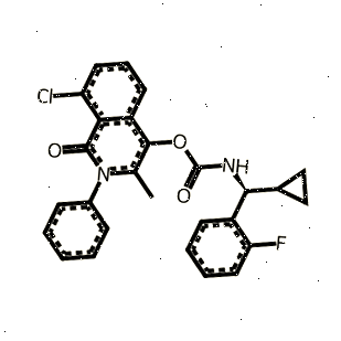 Cc1c(OC(=O)N[C@H](c2ccccc2F)C2CC2)c2cccc(Cl)c2c(=O)n1-c1ccccc1